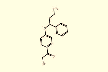 CCCC(Oc1ccc(C(=O)CBr)cc1)c1ccccc1